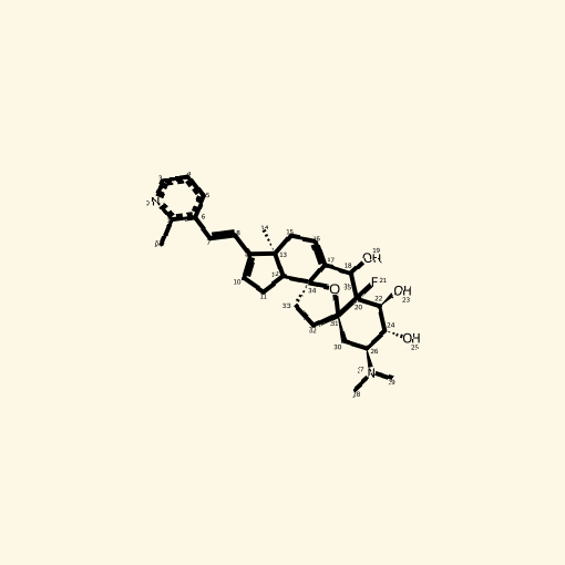 Cc1ncccc1/C=C/C1=CCC2[C@]1(C)CC=C1C(O)C3(F)[C@@H](O)[C@H](O)[C@@H](N(C)C)C[C@]34CC[C@@]12O4